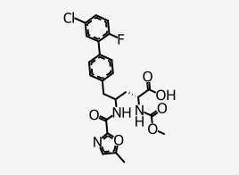 COC(=O)N[C@H](CC(Cc1ccc(-c2cc(Cl)ccc2F)cc1)NC(=O)c1ncc(C)o1)C(=O)O